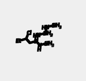 CCC(Cl)C[SiH](N[SiH3])N[SiH2]N[SiH3]